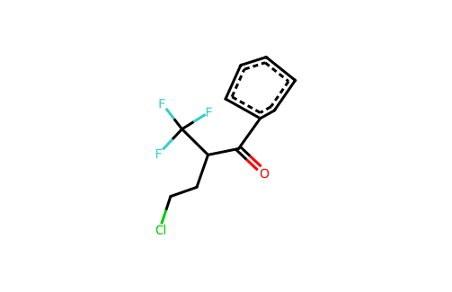 O=C(c1ccccc1)C(CCCl)C(F)(F)F